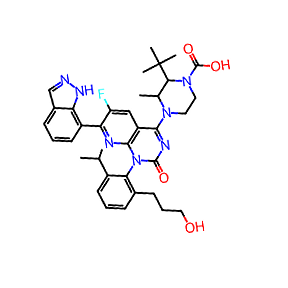 CC(C)c1cccc(CCCO)c1-n1c(=O)nc(N2CCN(C(=O)O)C(C(C)(C)C)C2C)c2cc(F)c(-c3cccc4cn[nH]c34)nc21